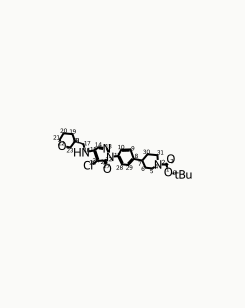 CC(C)(C)OC(=O)N1CCC(c2ccc(-n3ncc(NC[C@@H]4CCCOC4)c(Cl)c3=O)cc2)CC1